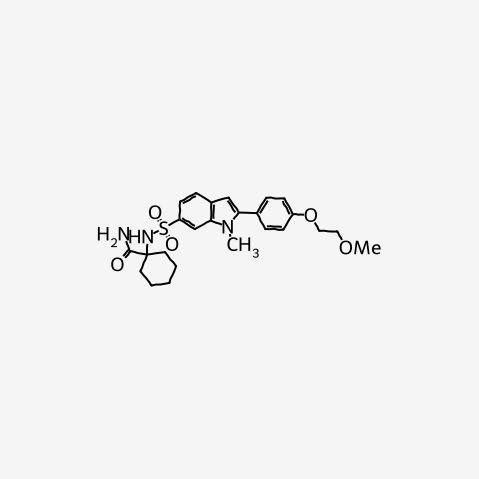 COCCOc1ccc(-c2cc3ccc(S(=O)(=O)NC4(C(N)=O)CCCCC4)cc3n2C)cc1